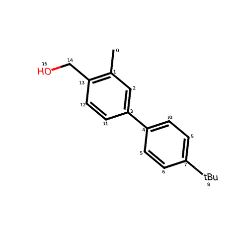 Cc1cc(-c2ccc(C(C)(C)C)cc2)ccc1CO